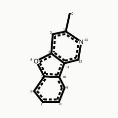 Cc1cc2oc3ccccc3c2cn1